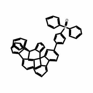 O=P(c1ccccc1)(c1ccccc1)c1ccc(-c2ccc3c(c2)C2(c4ccccc4-3)c3ccccc3C3(c4ccccc4)c4ccccc4-c4cccc2c43)cc1